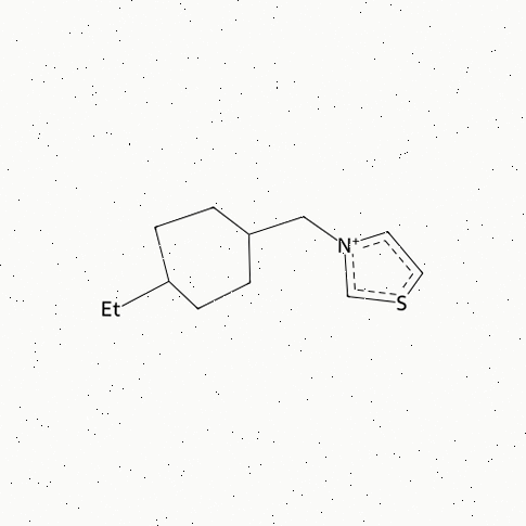 CCC1CCC(C[n+]2ccsc2)CC1